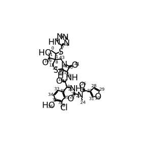 CC(Sc1nnn[nH]1)C1(C(=O)O)CS[C@@H]2C(NC(=O)C(NC(=O)N(C)C(=O)c3ccoc3)c3ccc(O)c(Cl)c3)C(=O)N2C1